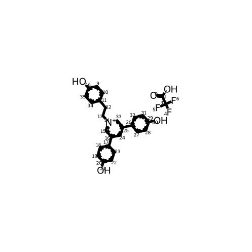 O=C(O)C(F)(F)F.Oc1ccc(CC[n+]2cc(-c3ccc(O)cc3)cc(-c3ccc(O)cc3)c2)cc1